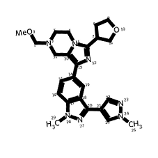 COCN1CCn2c(C3CCOC3)nc(-c3ccc4c(c3)c(-c3cnn(C)c3)nn4C)c2C1